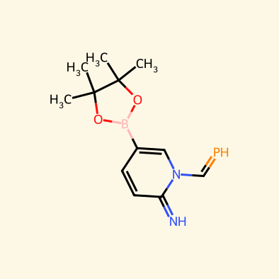 CC1(C)OB(c2ccc(=N)n(C=P)c2)OC1(C)C